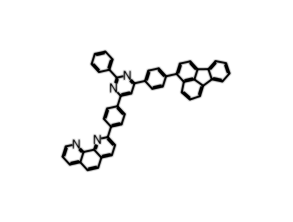 c1ccc(-c2nc(-c3ccc(-c4ccc5ccc6cccnc6c5n4)cc3)cc(-c3ccc(-c4ccc5c6c(cccc46)-c4ccccc4-5)cc3)n2)cc1